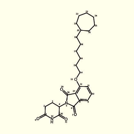 O=C1CCC(N2C(=O)c3cccc(OCCCCCCC4CCCCCC4)c3C2=O)C(=O)N1